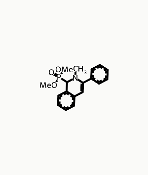 COP(=O)(OC)C1c2ccccc2C=C(c2ccccc2)N1C